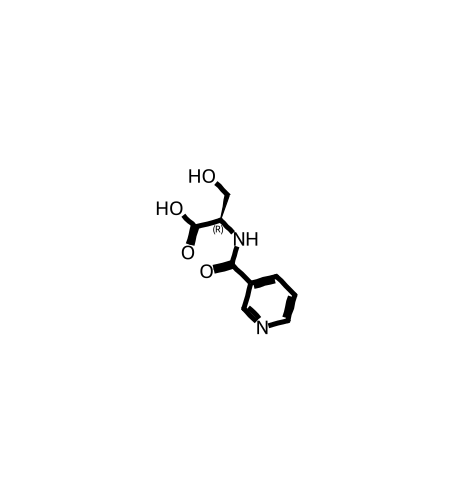 O=C(N[C@H](CO)C(=O)O)c1cccnc1